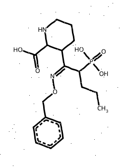 CCCC(C(=NOCc1ccccc1)C1CCCNC1C(=O)O)P(=O)(O)O